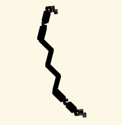 C=C=CCCCC=C=C